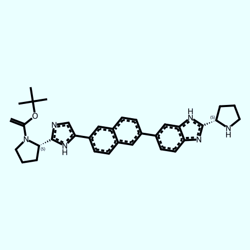 C=C(OC(C)(C)C)N1CCC[C@H]1c1ncc(-c2ccc3cc(-c4ccc5nc([C@@H]6CCCN6)[nH]c5c4)ccc3c2)[nH]1